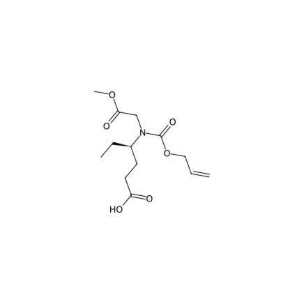 C=CCOC(=O)N(CC(=O)OC)[C@H](CC)CCC(=O)O